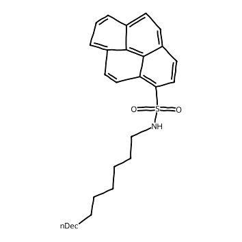 CCCCCCCCCCCCCCCCNS(=O)(=O)c1ccc2ccc3cccc4ccc1c2c34